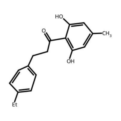 CCc1ccc(CCC(=O)c2c(O)cc(C)cc2O)cc1